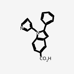 O=C(O)c1ccc2c(c1)cc(-c1ccccc1)n2-c1cccnc1